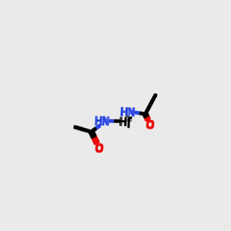 CC(=O)[NH][Hf][NH]C(C)=O